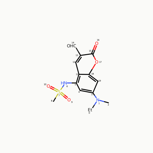 CCN(C)c1cc(NS(C)(=O)=O)c2cc(C=O)c(=O)oc2c1